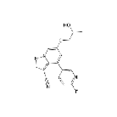 CC(O)COc1cc(-c2ccc(F)nc2)c2c(C#N)cnn2c1